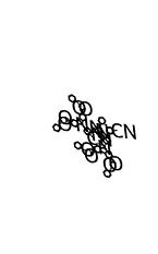 N#Cc1cccc(-c2ccc(-n3c4ccc(C(=O)OCc5ccccc5)cc4c4cc(C(=O)OCc5ccccc5)ccc43)cc2-c2nc(-c3ccccc3)nc(-c3cc(-n4c5ccc(C(=O)OCc6ccccc6)cc5c5cc(C(=O)OCc6ccccc6)ccc54)ccc3C#N)n2)c1